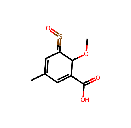 COC1C(C(=O)O)=CC(C)=CC1=S=O